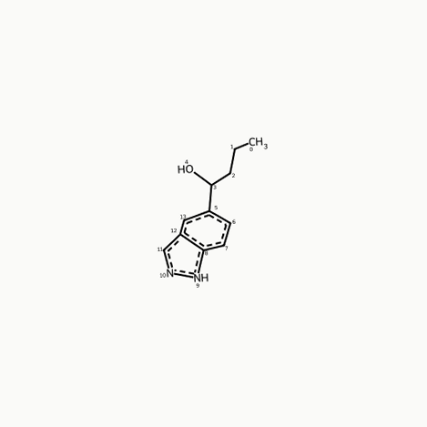 CCCC(O)c1ccc2[nH]ncc2c1